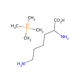 C[PH](C)(C)C.NCCCCC(N)C(=O)O